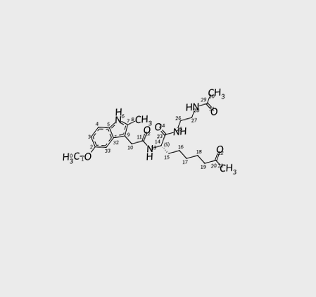 COc1ccc2[nH]c(C)c(CC(=O)N[C@@H](CCCCCC(C)=O)C(=O)NCCNC(C)=O)c2c1